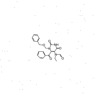 CCN(C=O)c1c(C(=O)c2ccccc2)n(COCc2ccccc2)c(=O)[nH]c1=O